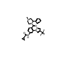 CN1CCN(C(=O)c2ccc(NC(=O)C3CC3)cc2-n2cc(C(F)(F)F)cn2)C(c2ccccc2)C1